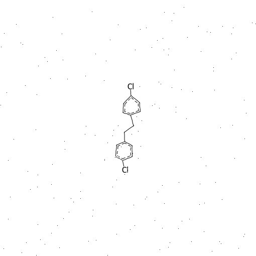 Clc1ccc(CCc2ccc(Cl)cc2)cc1